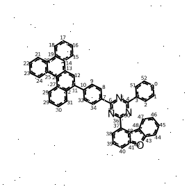 c1ccc(-c2nc(-c3ccc(-c4cc5c6ccccc6c6ccccc6c5c5ccccc45)cc3)nc(-c3cccc4oc5ccccc5c34)n2)cc1